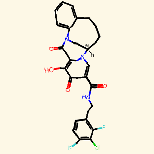 O=C(NCc1ccc(F)c(Cl)c1F)c1cn2c(c(O)c1=O)C(=O)N1C[C@H]2CCCc2ccccc21